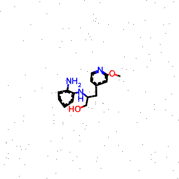 COc1cc(CC(CO)Nc2ccccc2N)ccn1